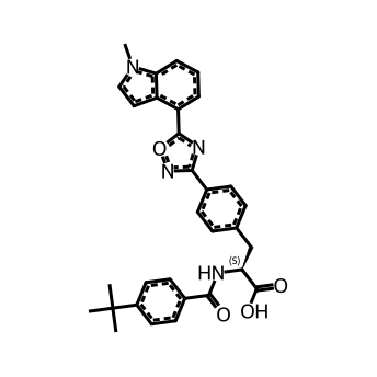 Cn1ccc2c(-c3nc(-c4ccc(C[C@H](NC(=O)c5ccc(C(C)(C)C)cc5)C(=O)O)cc4)no3)cccc21